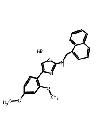 Br.COc1ccc(-c2csc(NCc3cccc4ccccc34)n2)c(OC)c1